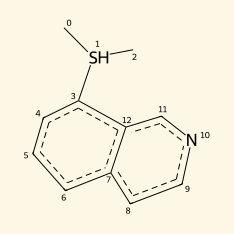 C[SH](C)c1cccc2ccncc12